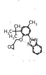 Cc1cc(-n2nc3ccccc3n2)c(OCC2CO2)c(C(C)(C)C)c1